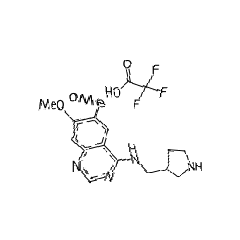 COc1cc2ncnc(NCC3CCNC3)c2cc1OC.O=C(O)C(F)(F)F